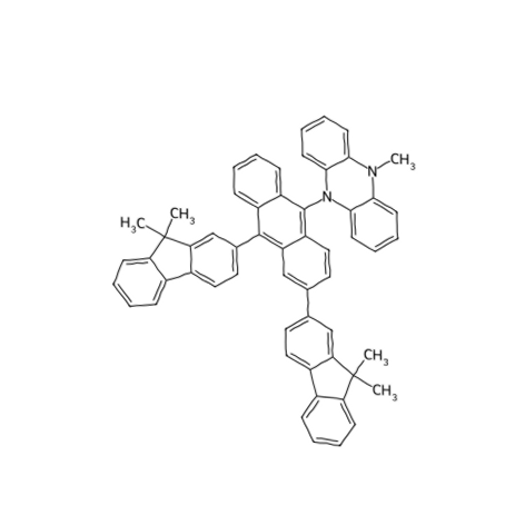 CN1c2ccccc2N(c2c3ccccc3c(-c3ccc4c(c3)C(C)(C)c3ccccc3-4)c3cc(-c4ccc5c(c4)C(C)(C)c4ccccc4-5)ccc23)c2ccccc21